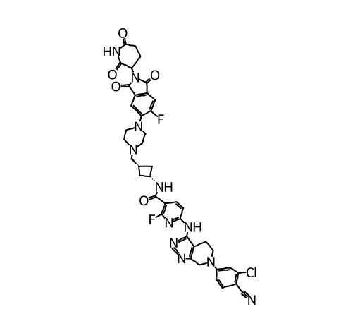 N#Cc1ccc(N2CCc3c(ncnc3Nc3ccc(C(=O)N[C@H]4C[C@H](CN5CCN(c6cc7c(cc6F)C(=O)N(C6CCC(=O)NC6=O)C7=O)CC5)C4)c(F)n3)C2)cc1Cl